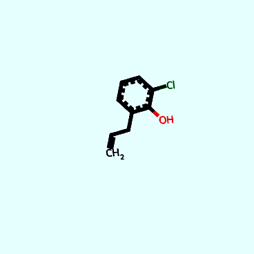 C=CCc1cccc(Cl)c1O